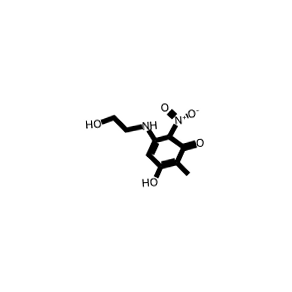 CC1=C(O)C=C(NCCO)C([N+](=O)[O-])C1=O